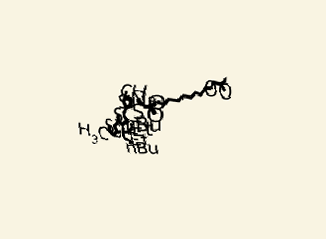 CCCCC(CC)C[Si]1(CC(CC)CCCC)c2cc(C)sc2-c2sc(-c3sc(C)c4nc(C(=O)OCCCCCCCCOCC5CO5)sc34)cc21